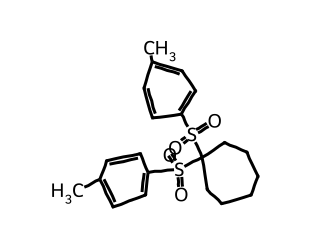 Cc1ccc(S(=O)(=O)C2(S(=O)(=O)c3ccc(C)cc3)CCCCCC2)cc1